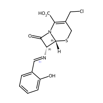 O=C(O)C1=C(CCl)CS[C@@H]2[C@H](/N=C/c3ccccc3O)C(=O)N12